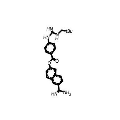 CC(C)(C)CNC(=N)Nc1ccc(C(=O)Oc2ccc3cc(C(=N)N)ccc3c2)cc1